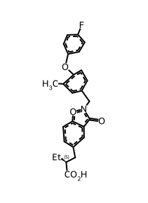 CC[C@@H](Cc1ccc2on(Cc3ccc(Oc4ccc(F)cc4)c(C)c3)c(=O)c2c1)C(=O)O